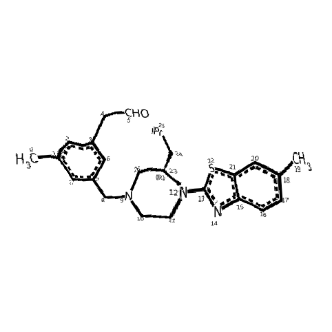 Cc1cc(CC=O)cc(CN2CCN(c3nc4ccc(C)cc4s3)[C@H](CC(C)C)C2)c1